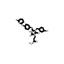 NC(=O)CCn1c(=O)[nH]/c(=N\c2ccc(Oc3cccc(F)n3)cc2)n(Cc2ccc(Cl)cc2)c1=O